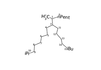 CCCCCC(C)C(CCCCCCC(C)C)CCCCC(C)CC